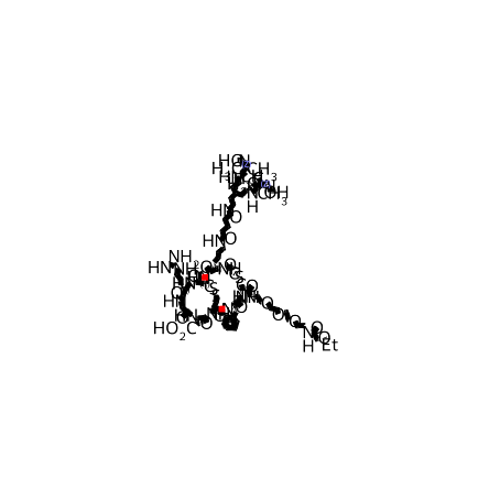 CCOCC(=O)NCCOCCOCCOCCNC(=O)[C@@H]1CSCC(=O)N[C@@H](CCCCNC(=O)CCCC(=O)NCCC(CCNC(C)(C)/C(C)=N\O)CCNC(C)(C)/C(C)=N\O)C(=O)N[C@H]2CSSC[C@H](NC(=O)[C@H](CC(=O)O)NC(=O)CNC(=O)[C@H](CCCNC(=N)N)NC2=O)C(=O)N[C@@H](Cc2ccccc2)C(=O)N1